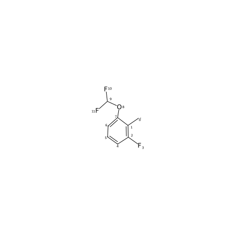 [CH2]c1c(F)cccc1OC(F)F